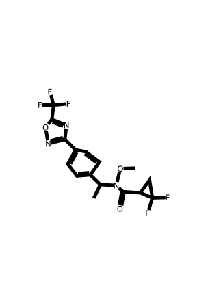 CON(C(=O)C1CC1(F)F)C(C)c1ccc(-c2noc(C(F)(F)F)n2)cc1